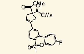 COC(=O)C1(C(=O)OC)CC=C(c2ccc(S(C)(=O)=O)c(-c3ccc(F)cc3)c2)C1